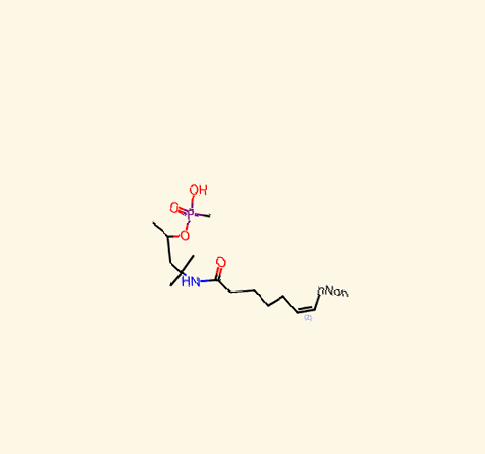 CCCCCCCCC/C=C\CCCCC(=O)NC(C)(C)CC(C)OP(C)(=O)O